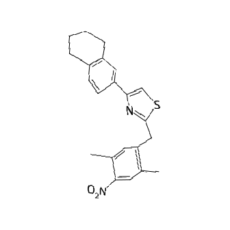 Cc1cc([N+](=O)[O-])c(C)cc1Cc1nc(-c2ccc3c(c2)CCCC3)cs1